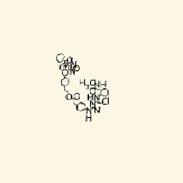 CNC(=O)c1ccccc1Nc1nc(Nc2ccc(CC(=O)OCCc3ccc(Oc4nonc4S(=O)(=O)c4ccccc4)cc3)cc2)ncc1Cl